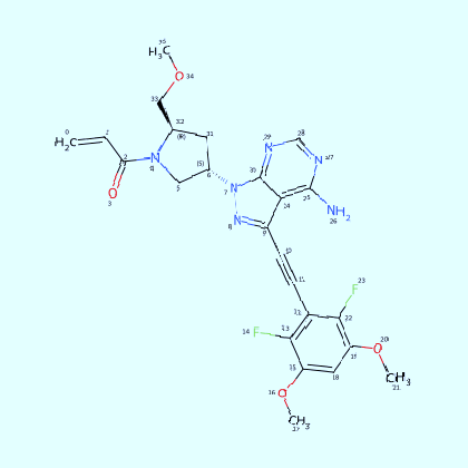 C=CC(=O)N1C[C@@H](n2nc(C#Cc3c(F)c(OC)cc(OC)c3F)c3c(N)ncnc32)C[C@@H]1COC